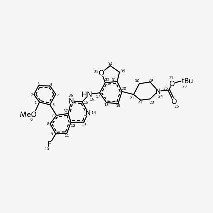 COc1ccccc1-c1cc(F)cc2cnc(Nc3ccc(C4CCN(C(=O)OC(C)(C)C)CC4)c4c3OCC4)nc12